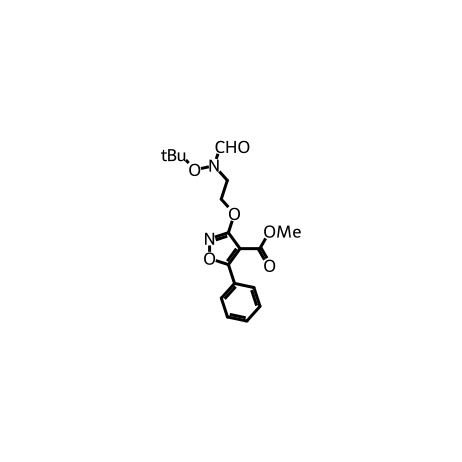 COC(=O)c1c(OCCN(C=O)OC(C)(C)C)noc1-c1ccccc1